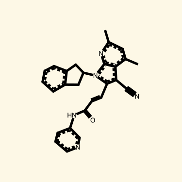 Cc1cc(C)c2c(C#N)c(C=CC(=O)Nc3cccnc3)n(C3Cc4ccccc4C3)c2n1